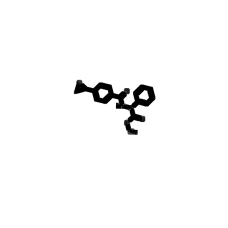 CC(C)(C)OC(=O)N(NC(=O)c1ccc(C2CO2)cc1)c1ccccc1